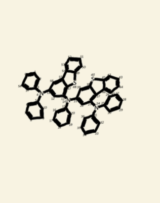 c1ccc(N(c2ccccc2)c2cc(N(c3ccccc3)c3cc(N(c4ccccc4)c4ccccc4)c4c(c3)sc3ccccc34)c3sc4ccccc4c3c2)cc1